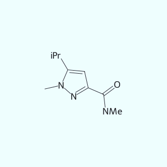 CNC(=O)c1cc(C(C)C)n(C)n1